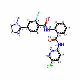 CN1CCN=C1c1ccc(C(=O)Nc2ccccc2C(=O)Nc2ccc(Cl)cn2)c(F)c1